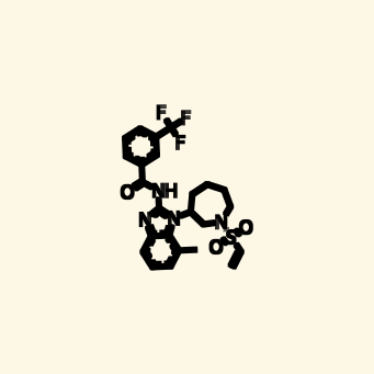 C=CS(=O)(=O)N1CCCCC(n2c(NC(=O)c3cccc(C(F)(F)F)c3)nc3cccc(C)c32)C1